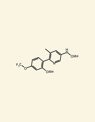 CONc1cnc(-c2ccc(OC(F)(F)F)cc2OC)c(C)c1